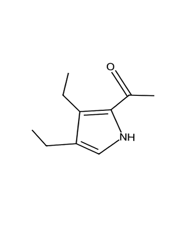 CCc1c[nH]c(C(C)=O)c1CC